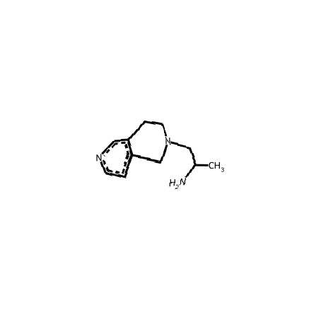 CC(N)CN1CCc2cnccc2C1